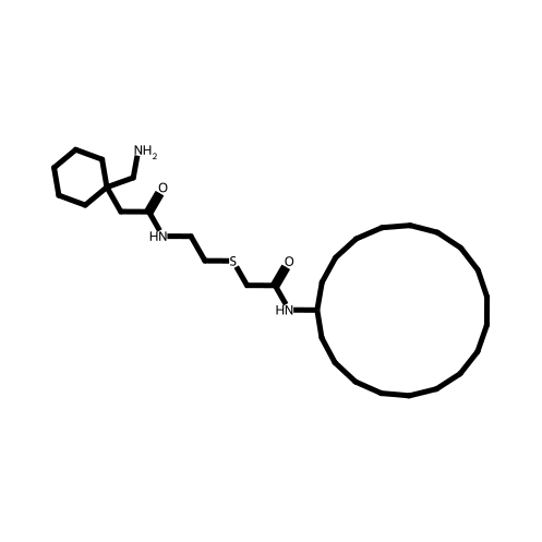 NCC1(CC(=O)NCCSCC(=O)NC2CCCCCCCCCCCCCCCCCC2)CCCCC1